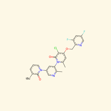 Cc1ncc(-n2cccc(C(C)(C)C)c2=O)cc1-n1c(C)cc(OCc2ncc(F)cc2F)c(Cl)c1=O